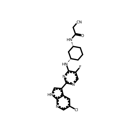 N#CCC(=O)N[C@@H]1CCC[C@H](Nc2nc(-c3c[nH]c4ncc(Cl)cc34)ncc2F)C1